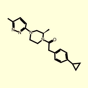 Cc1ccc(N2CCN(C(=O)Cc3ccc(C4CC4)cc3)[C@H](C)C2)nn1